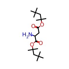 CC(C)(C)CC(C)(C)OC(=O)CC(N)C(=O)OC(C)(C)CC(C)(C)C